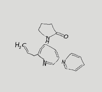 C=Cc1ccccn1.O=C1CCCN1.c1ccncc1